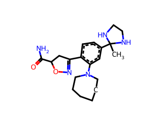 CC1(c2ccc(C3=NOC(C(N)=O)C3)c(N3CCCCCC3)c2)NCCN1